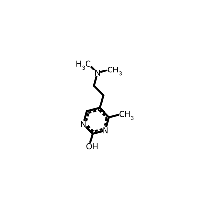 Cc1nc(O)ncc1CCN(C)C